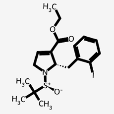 CCOC(=O)C1=CCN([S@@+]([O-])C(C)(C)C)[C@H]1Cc1ccccc1I